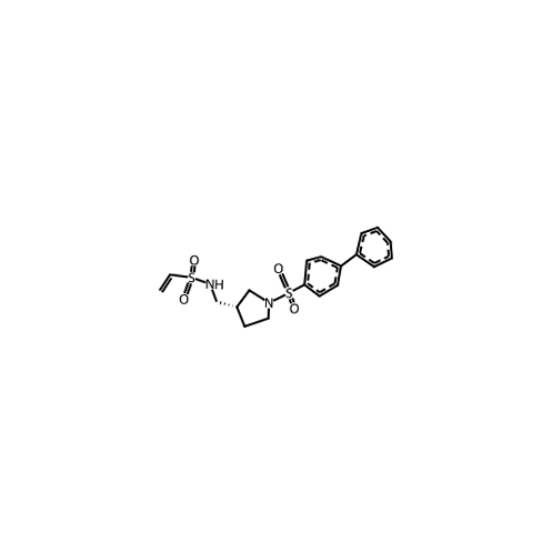 C=CS(=O)(=O)NC[C@H]1CCN(S(=O)(=O)c2ccc(-c3ccccc3)cc2)C1